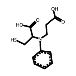 O=C(O)CCN(c1ccccc1)C(CS)C(=O)O